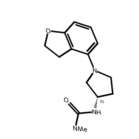 CNC(=O)N[C@H]1CCN(c2cccc3c2CCO3)C1